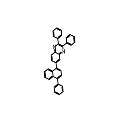 c1ccc(-c2nc3ccc(-c4ccc(-c5ccccc5)c5ccccc45)cc3nc2-c2ccccc2)cc1